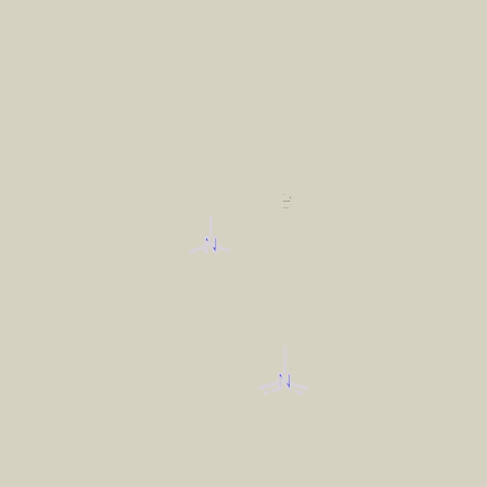 c1ccc(N2c3cc(-n4c5ccccc5c5ccccc54)ccc3B3c4ccc5ccccc5c4-c4cccc2c43)cc1